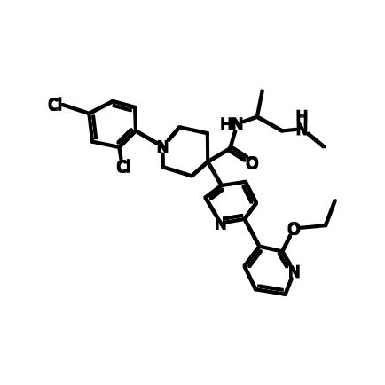 CCOc1ncccc1-c1ccc(C2(C(=O)NC(C)CNC)CCN(c3ccc(Cl)cc3Cl)CC2)cn1